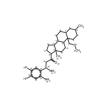 COCC12CCC(C)CC1CCC1C3CCC(C(=O)CN(N)c4cc(F)c(F)cc4N)C3(C)CCC12